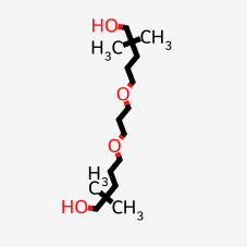 CC(C)(CO)CCCOCCCOCCCC(C)(C)CO